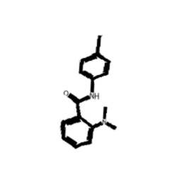 [CH2]c1ccc(NC(=O)c2ccccc2N(C)C)cc1